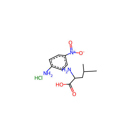 CC(C)CC(N)C(=O)O.Cl.Nc1ccc([N+](=O)[O-])cc1